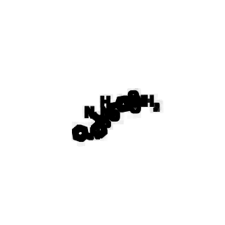 N#Cc1c(NC(=O)Cc2ccc(S(N)(=O)=O)cc2)sc2c1CN(CC1CCCCC1)CC2